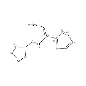 O=CC=C(OCC1COCO1)c1ccccc1